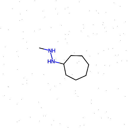 CNNC1CCCCCC1